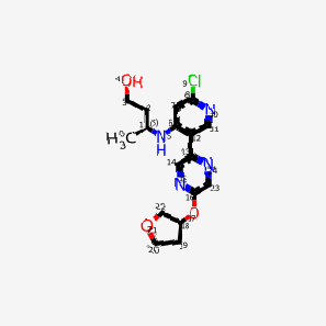 C[C@@H](CCO)Nc1cc(Cl)ncc1-c1cnc(OC2CCOC2)cn1